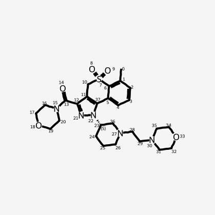 Cc1cccc2c1S(=O)(=O)Cc1c(C(=O)N3CCOCC3)nn([C@H]3CCCN(CCN4CCOCC4)C3)c1-2